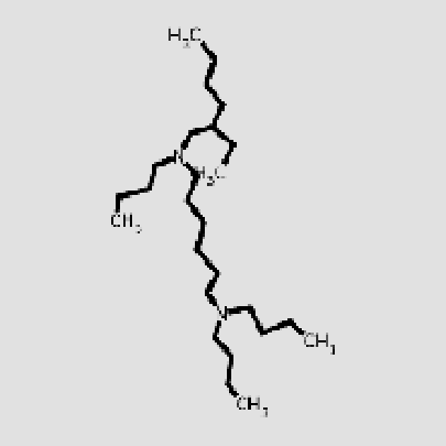 CCCCC(CC)CN(CCCC)CCCCCCN(CCCC)CCCC